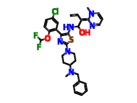 C=C/C(=C1/N=CC=CN1C)C(O)Nc1sc(N2CCC(N(C)Cc3ccccc3)CC2)nc1-c1cc(Cl)ccc1OC(F)F